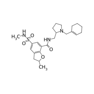 CNS(=O)(=O)c1cc2c(c(C(=O)NCC3CCCN3CC3=CCCCC3)c1)OC(C)C2